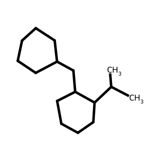 CC(C)C1CCCCC1CC1CCCCC1